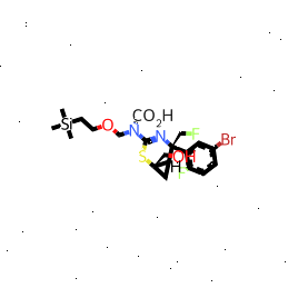 C[Si](C)(C)CCOCN(C(=O)O)C1=N[C@](CF)(c2cc(Br)ccc2F)[C@@H]2C[C@]2(CO)S1